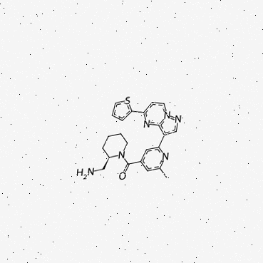 Cc1cc(C(=O)N2CCCC[C@@H]2CN)cc(-c2cnn3ccc(-c4cccs4)nc23)n1